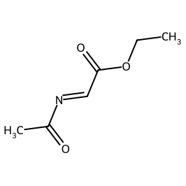 CCOC(=O)/C=N/C(C)=O